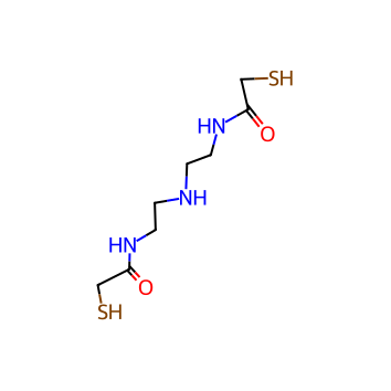 O=C(CS)NCCNCCNC(=O)CS